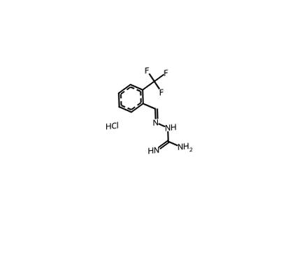 Cl.N=C(N)NN=Cc1ccccc1C(F)(F)F